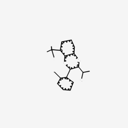 CC(N)c1nc2cccc(C(F)(F)F)c2nc1-c1ccccc1Cl